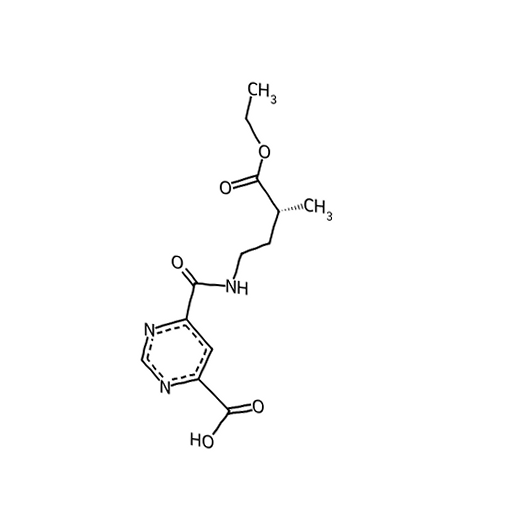 CCOC(=O)[C@H](C)CCNC(=O)c1cc(C(=O)O)ncn1